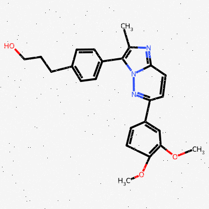 COc1ccc(-c2ccc3nc(C)c(-c4ccc(CCCO)cc4)n3n2)cc1OC